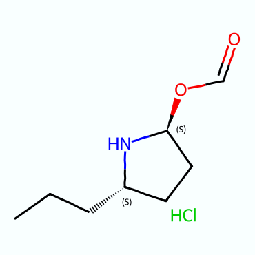 CCC[C@H]1CC[C@H](OC=O)N1.Cl